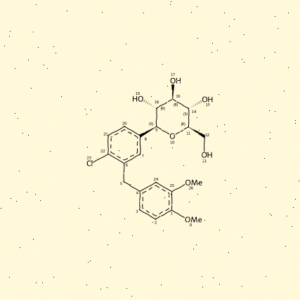 COc1ccc(Cc2cc([C@@H]3O[C@H](CO)[C@@H](O)[C@H](O)[C@H]3O)ccc2Cl)cc1OC